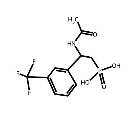 CC(=O)NC(CP(=O)(O)O)c1cccc(C(F)(F)F)c1